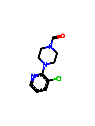 O=CN1CCN(c2ncccc2Cl)CC1